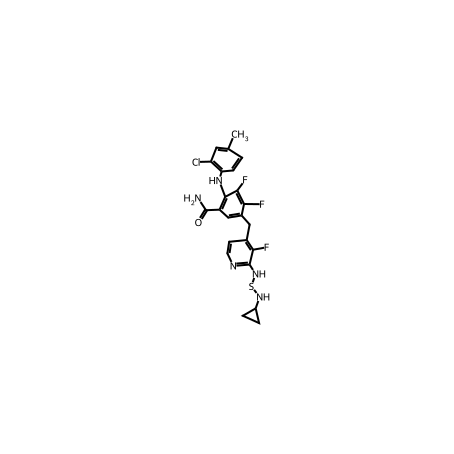 Cc1ccc(Nc2c(C(N)=O)cc(Cc3ccnc(NSNC4CC4)c3F)c(F)c2F)c(Cl)c1